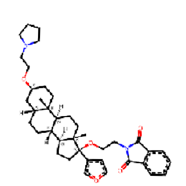 C[C@]12CC[C@H](OCCN3CCCC3)C[C@H]1CC[C@@H]1[C@@H]2CC[C@@]2(C)[C@H]1CC[C@@]2(OCCN1C(=O)c2ccccc2C1=O)c1ccoc1